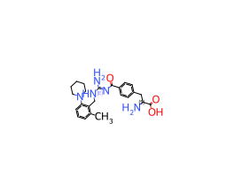 Cc1cccc(N2CCCCC2)c1CN/C(N)=N/C(=O)c1ccc(C[C@H](N)C(=O)O)cc1